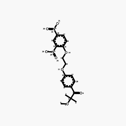 COC(C)(C)C(=O)c1ccc(OCCOc2ccc([N+](=O)[O-])cc2[N+](=O)[O-])cc1